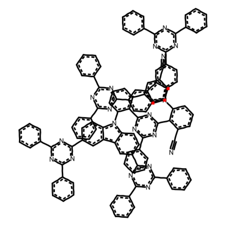 N#Cc1cccc(-c2cccc(-n3c4ccc(-c5nc(-c6ccccc6)nc(-c6ccccc6)n5)cc4c4cc(-c5nc(-c6ccccc6)nc(-c6ccccc6)n5)ccc43)c2-c2nc(-c3ccccc3)nc(-c3c(C#N)cccc3-n3c4ccc(-c5nc(-c6ccccc6)nc(-c6ccccc6)n5)cc4c4cc(-c5nc(-c6ccccc6)nc(-c6ccccc6)n5)ccc43)n2)c1